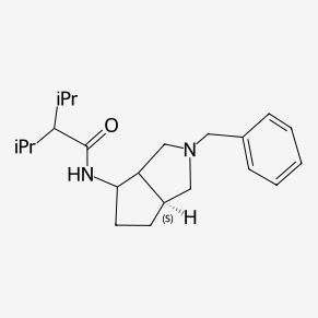 CC(C)C(C(=O)NC1CC[C@@H]2CN(Cc3ccccc3)CC12)C(C)C